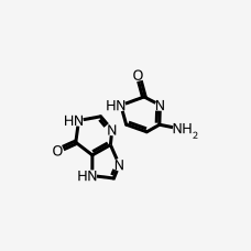 Nc1cc[nH]c(=O)n1.O=c1[nH]cnc2nc[nH]c12